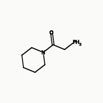 O=C(CP)N1CCCCC1